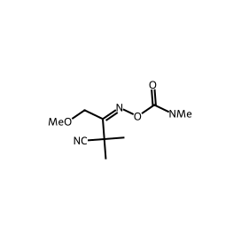 CNC(=O)ON=C(COC)C(C)(C)C#N